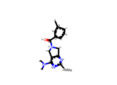 CNc1nc2c(c(N(C)C)n1)CN(C(=O)c1cccc(C)c1)C2